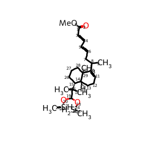 COC(=O)C=CC=CCC(C)C1=CCC[C@@H]2[C@@H](C(C)(C)C(O[SiH2]C)O[SiH2]C)CCC[C@@]12C